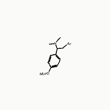 COc1ccc(C(CC(C)=O)N(C)C)cc1